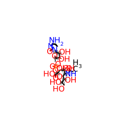 CCC(=O)N[C@H]1C([C@H](O)[C@H](O)CO)O[C@](OP(=O)(O)OC[C@H]2O[C@@H](n3ccc(N)nc3=O)[C@@H](O)C2O)(C(=O)O)C[C@H]1O